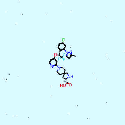 Cc1ccn(-c2cc(Cl)ccc2[C@@H](Oc2ccnc(N3CCC4(CC3)CN[C@H](C(=O)O)C4)c2)C(F)(F)F)n1